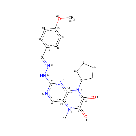 Cn1c(=O)c(=O)n(C2CCCC2)c2nc(NN=Cc3ccc(OC(F)(F)F)cc3)ncc21